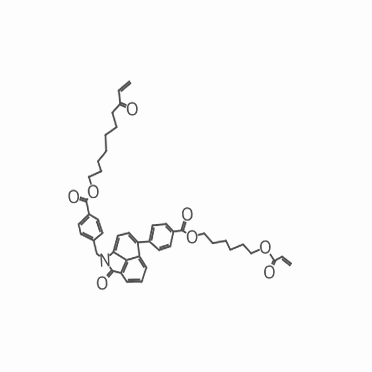 C=CC(=O)CCCCCCCOC(=O)c1ccc(CN2C(=O)c3cccc4c(-c5ccc(C(=O)OCCCCCCOC(=O)C=C)cc5)ccc2c34)cc1